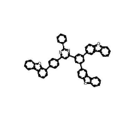 c1ccc(-c2nc(-c3ccc(-c4cccc5c4oc4ccccc45)cc3)cc(-c3cc(-c4ccc5oc6ccccc6c5c4)cc(-c4ccc5oc6ccccc6c5c4)c3)n2)cc1